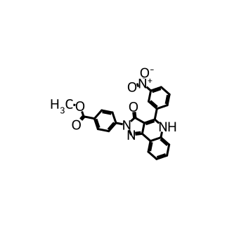 COC(=O)c1ccc(-n2nc3c4ccccc4[nH]c(-c4cccc([N+](=O)[O-])c4)c-3c2=O)cc1